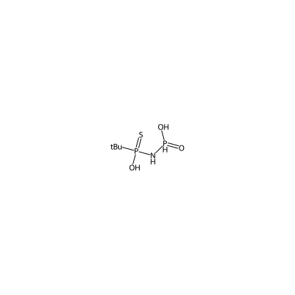 CC(C)(C)P(O)(=S)N[PH](=O)O